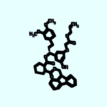 C=CCOC(=O)COc1cc(O)cc([C@@H](CCc2ccc(OC)c(OC)c2)OC(=O)C2CCCCN2C(=O)OCC2c3ccccc3-c3ccccc32)c1